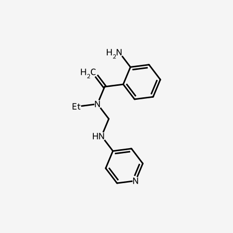 C=C(c1ccccc1N)N(CC)CNc1ccncc1